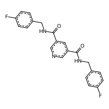 O=C(NCc1ccc(F)cc1)c1cncc(C(=O)NCc2ccc(F)cc2)c1